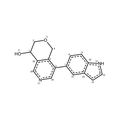 OC1COCc2c(-c3ccc4[nH]ccc4c3)cncc21